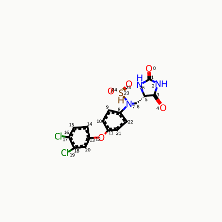 O=C1NC(=O)[C@H](CN(c2ccc(Oc3ccc(Cl)c(Cl)c3)cc2)[SH](=O)=O)N1